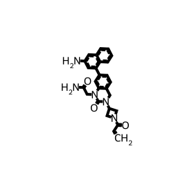 C=CC(=O)N1CC(N2Cc3ccc(-c4cc(N)cc5ccccc45)cc3N(CC(N)=O)C2=O)C1